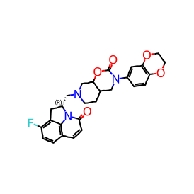 O=C1OC2CN(C[C@H]3Cc4c(F)ccc5ccc(=O)n3c45)CCC2CN1c1ccc2c(c1)OCCO2